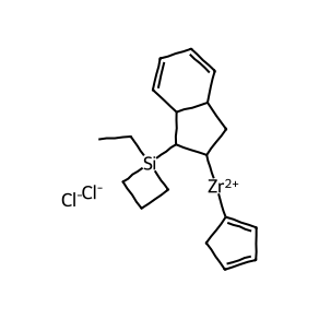 CC[Si]1(C2[CH]([Zr+2][C]3=CC=CC3)CC3C=CC=CC32)CCC1.[Cl-].[Cl-]